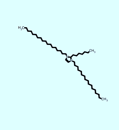 CCCCCCCCCCCCCCCCCCN1C=CN(CCCCCCCCCCCCCCCCC)C1CCCCCCC